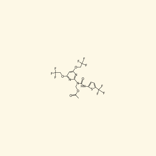 CC(=O)OCN(C(=O)Nc1ccc(C(F)(F)F)s1)c1nc(OCC(F)(F)F)cc(OCC(F)(F)F)n1